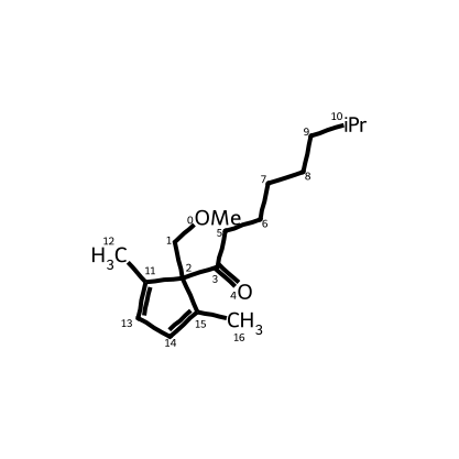 COCC1(C(=O)CCCCCC(C)C)C(C)=CC=C1C